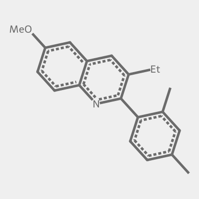 CCc1cc2cc(OC)ccc2nc1-c1ccc(C)cc1C